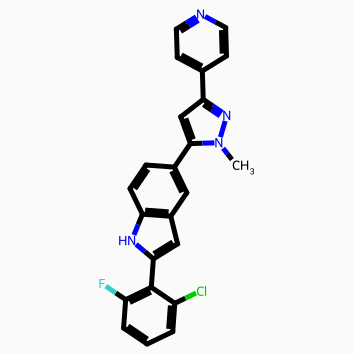 Cn1nc(-c2ccncc2)cc1-c1ccc2[nH]c(-c3c(F)cccc3Cl)cc2c1